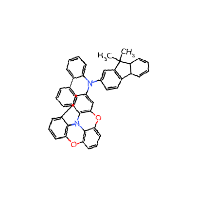 CC1(C)c2cc(N(c3cc4c5c(c3)c3cccc6c3n5-c3c(cccc3O4)O6)c3ccccc3-c3ccccc3)ccc2C2C=CC=CC21